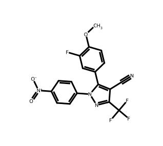 COc1ccc(-c2c(C#N)c(C(F)(F)F)nn2-c2ccc([N+](=O)[O-])cc2)cc1F